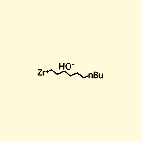 CCCCCCCCC[CH2][Zr+].[OH-]